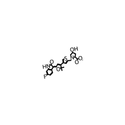 COC(=O)C1CC(O)CN1Cc1cc(C2=C/C(=C3\C(=O)Nc4cc(F)ccc43)OC2(C)C)cs1